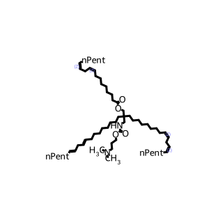 CCCCCC=CCC=CCCCCCCCCC(CCCCCCCC/C=C\C/C=C\CCCCC)(CNC(=O)OCCCN(C)C)COC(=O)CCCCCCC/C=C\C/C=C\CCCCC